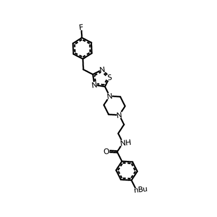 CCCCc1ccc(C(=O)NCCN2CCN(c3nc(Cc4ccc(F)cc4)ns3)CC2)cc1